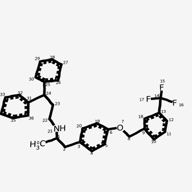 CC(Cc1ccc(OCc2cccc(C(F)(F)F)c2)cc1)NCCC(c1ccccc1)c1ccccc1